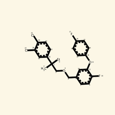 CCC(C)(COCc1ccc(F)c(Oc2ccc(F)cc2)c1)c1ccc(Cl)c(Cl)c1